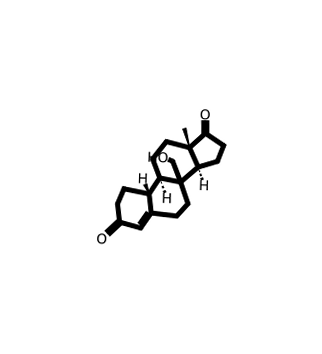 C[C@]12CC[C@@H]3[C@H]4CCC(=O)C=C4CCC3(CO)[C@@H]1CCC2=O